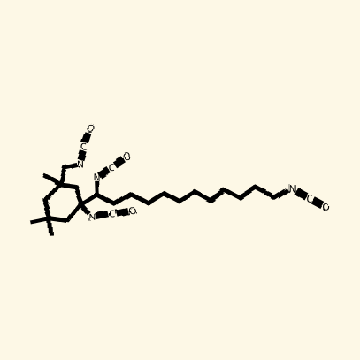 CC1(C)CC(C)(CN=C=O)CC(N=C=O)(C(CCCCCCCCCCCN=C=O)N=C=O)C1